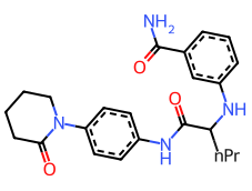 CCCC(Nc1cccc(C(N)=O)c1)C(=O)Nc1ccc(N2CCCCC2=O)cc1